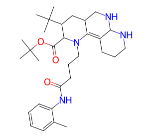 Cc1ccccc1NC(=O)CCCN1C2=C3CCCNC3NCC2CC(C(C)(C)C)C1C(=O)OC(C)(C)C